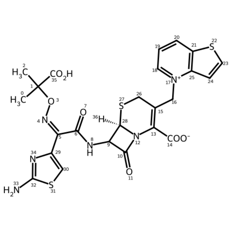 CC(C)(O/N=C(\C(=O)NC1C(=O)N2C(C(=O)[O-])=C(C[n+]3cccc4sccc43)CS[C@H]12)c1csc(N)n1)C(=O)O